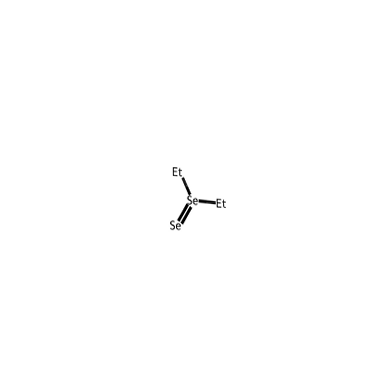 CC[Se](=[Se])CC